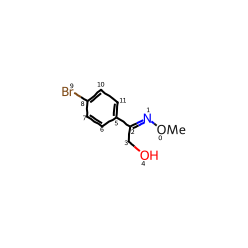 CON=C(CO)c1ccc(Br)cc1